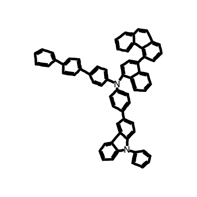 c1ccc(-c2ccc(-c3ccc(N(c4ccc(-c5ccc6c(c5)c5ccccc5n6-c5ccccc5)cc4)c4ccc(-c5cccc6ccc7ccccc7c56)c5ccccc45)cc3)cc2)cc1